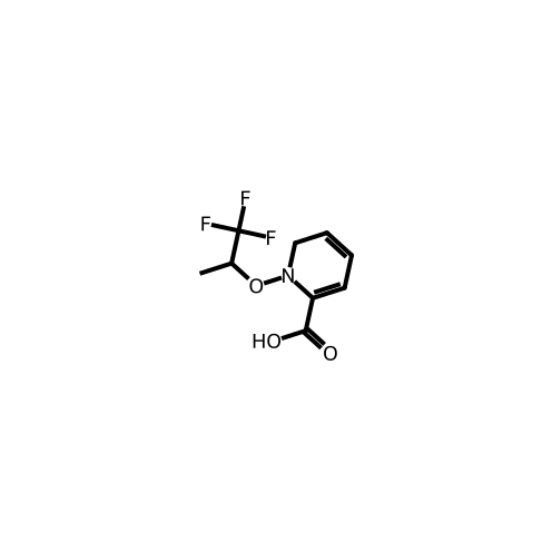 CC(ON1CC=CC=C1C(=O)O)C(F)(F)F